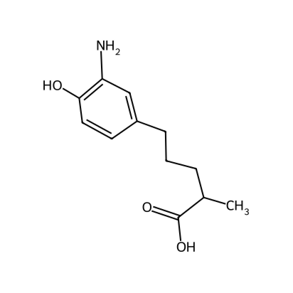 CC(CCCc1ccc(O)c(N)c1)C(=O)O